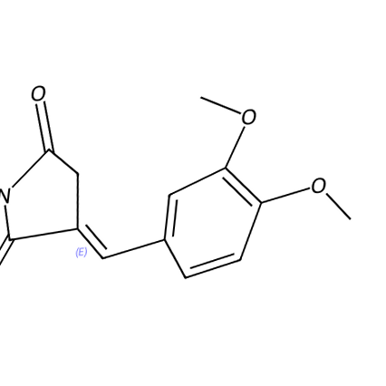 COc1ccc(/C=C2\CC(=O)NC2=O)cc1OC